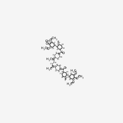 COc1cc(-c2cc(C(=O)N3CCC(N(C)CCN(C)C4CCN(C(=O)c5ccc(F)c(-c6cc(OC)c(OC)c(OC)c6)c5)CC4)CC3)ccc2F)cc(OC)c1OC